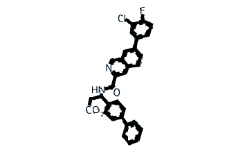 O=C(O)CC(NC(=O)c1cc2ccc(-c3ccc(F)c(Cl)c3)cc2cn1)c1ccc(-c2ccccc2)cc1